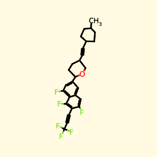 CC1CCC(C#CC2CCC(c3cc(F)c4c(F)c(C#CC(F)(F)F)c(F)cc4c3)OC2)CC1